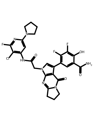 NC(=O)c1cc(-c2cn(CC(=O)Nc3cc(N4CCCC4)nc(F)c3Cl)c3nc4n(c(=O)c23)CCC4)c(F)c(F)c1O